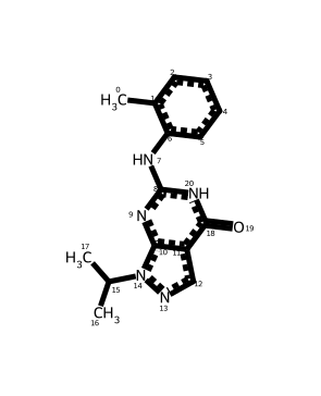 Cc1ccccc1Nc1nc2c(cnn2C(C)C)c(=O)[nH]1